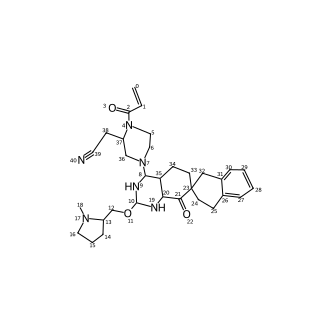 C=CC(=O)N1CCN(C2NC(OCC3CCCN3C)NC3C(=O)C4(CCc5ccccc5C4)CCC32)CC1CC#N